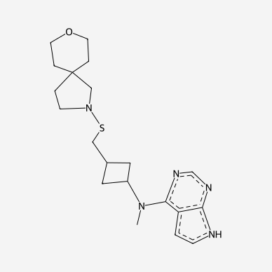 CN(c1ncnc2[nH]ccc12)C1CC(CSN2CCC3(CCOCC3)C2)C1